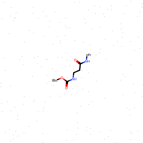 CCCNC(=O)CCNC(=O)OC(C)(C)C